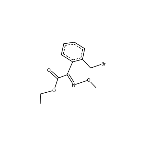 CCOC(=O)/C(=N/OC)c1ccccc1CBr